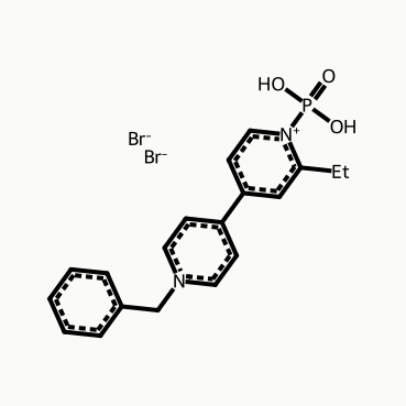 CCc1cc(-c2cc[n+](Cc3ccccc3)cc2)cc[n+]1P(=O)(O)O.[Br-].[Br-]